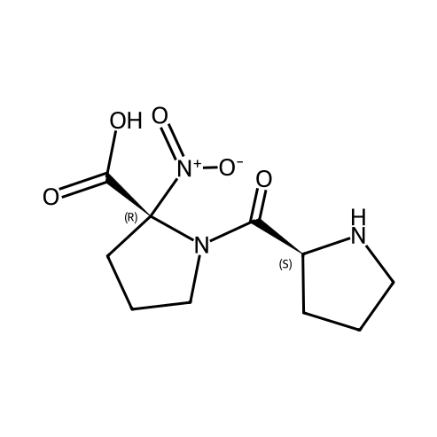 O=C([C@@H]1CCCN1)N1CCC[C@]1(C(=O)O)[N+](=O)[O-]